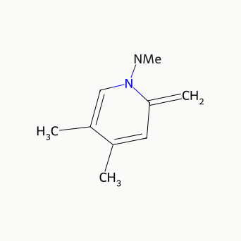 C=C1C=C(C)C(C)=CN1NC